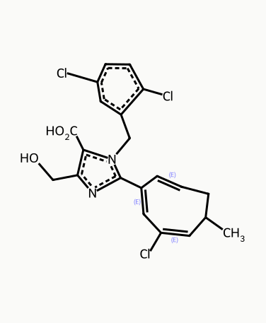 CC1\C=C(Cl)/C=C(c2nc(CO)c(C(=O)O)n2Cc2cc(Cl)ccc2Cl)\C=C\C1